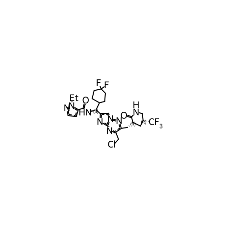 CCn1nccc1C(=O)N[C@H](c1cn2nc(C[C@H]3C[C@@H](C(F)(F)F)CNC3=O)c(CCl)nc2n1)C1CCC(F)(F)CC1